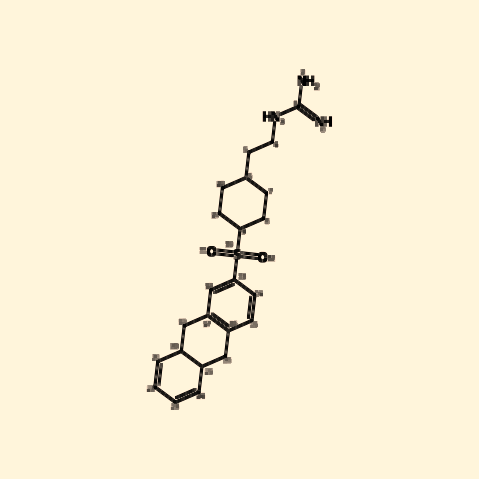 N=C(N)NCCC1CCC(S(=O)(=O)c2ccc3c(c2)CC2C=CC=CC2C3)CC1